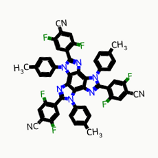 Cc1ccc(-n2c(-c3cc(F)c(C#N)cc3F)nc3c2c2nc(-c4cc(F)c(C#N)cc4F)n(-c4ccc(C)cc4)c2c2nc(-c4cc(F)c(C#N)cc4F)n(-c4ccc(C)cc4)c32)cc1